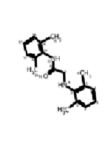 Cc1cccc(C)c1NCC(=O)Nc1c(C)cccc1C